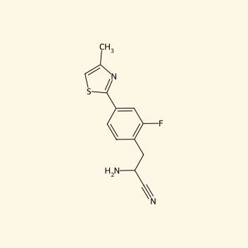 Cc1csc(-c2ccc(CC(N)C#N)c(F)c2)n1